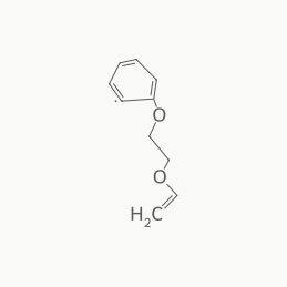 C=COCCOc1[c]cccc1